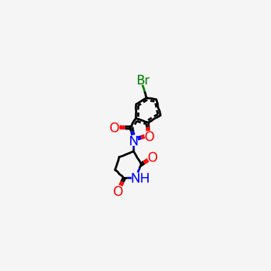 O=C1CCC(n2oc3ccc(Br)cc3c2=O)C(=O)N1